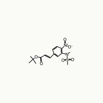 CN(c1cc(C=CC(=O)OC(C)(C)C)ccc1[N+](=O)[O-])S(C)(=O)=O